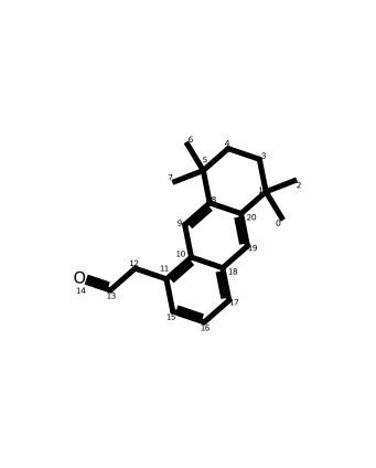 CC1(C)CCC(C)(C)c2cc3c(CC=O)cccc3cc21